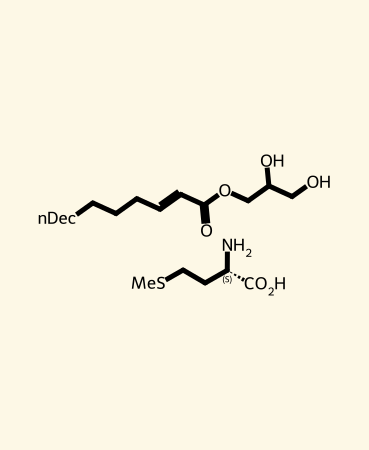 CCCCCCCCCCCCCC=CC(=O)OCC(O)CO.CSCC[C@H](N)C(=O)O